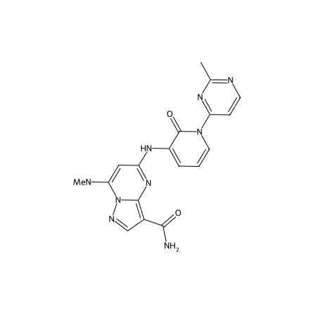 CNc1cc(Nc2cccn(-c3ccnc(C)n3)c2=O)nc2c(C(N)=O)cnn12